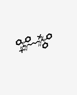 CC(C)(C)/N=C(\NCCCCCN/C(=N\C(C)(C)C)P(c1ccccc1)c1ccccc1)P(c1ccccc1)c1ccccc1